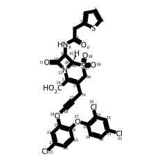 O=C(Cc1cccs1)NC1C(=O)N2C(C(=O)O)=C(CC#COc3cc(Cl)ccc3Oc3ccc(Cl)cc3Cl)CS(=O)(=O)[C@H]12